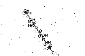 CCCCCN(O)C(=O)CCC(=O)NCCOCCN(O)C(=O)CCC(=O)NCCOCCN(O)C(=O)CCC(=O)NCCOCCN(O)C(C)=O